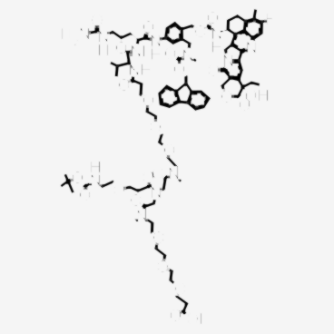 CC[C@@]1(O)C(=O)OCc2c1cc1n(c2=O)Cc2c-1nc1cc(F)c(C)c3c1c2[C@@H](NC(=O)OCc1ccc(NC(=O)[C@H](CCCNC(N)=O)NC(=O)[C@@H](NC(=O)CCOCCOCCOCCN(C)C(=O)CN(CC(=O)N(C)CCOCCOCCOCCC(=O)O)C(=O)CCOCCNC(=O)OC(C)(C)C)C(C)C)cc1CN(C)C(=O)OCC1c2ccccc2-c2ccccc21)CC3